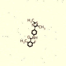 Cc1nc(-c2ccc(NC(=O)c3c(C)cccc3F)cc2)c(C)s1